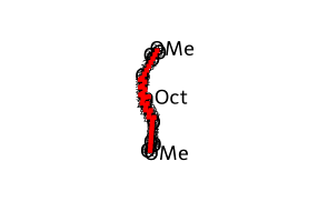 CCCCCCCCC1(C)c2cc(-c3ccc(-c4ccc(OCCCCCCCCOC(=O)/C=C/C(=O)OC)cc4)cc3)ccc2-c2ccc(-c3ccc(-c4ccc(OCCCCCCCCOC(=O)/C=C/C(=O)OC)cc4)cc3)cc21